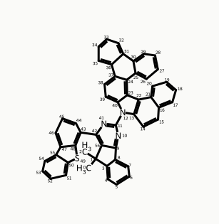 CC1(C)c2ccccc2-c2nc(-n3c4ccc5ccccc5c4c4c5c6ccccc6c6ccccc6c5ccc43)nc(-c3cccc4c3sc3ccccc34)c21